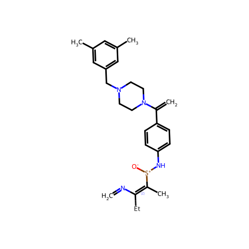 C=N/C(CC)=C(/C)[S+]([O-])Nc1ccc(C(=C)N2CCN(Cc3cc(C)cc(C)c3)CC2)cc1